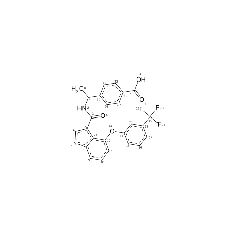 CC(NC(=O)c1csc2cccc(Oc3cccc(C(F)(F)F)c3)c12)c1ccc(C(=O)O)cc1